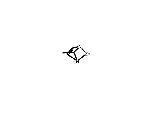 CC1[N]2C=C[N]1[Zn]2